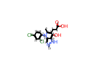 CC1=C(CCC(=O)O)C(O)=C2NN(C)C=C2N1c1ccc(Cl)cc1Cl